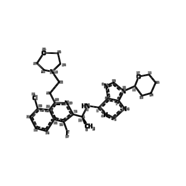 C[C@H](Nc1ncnc2c1ncn2C1CCCCO1)c1nc(CCN2CCOCC2)c2c(Cl)cccc2c1F